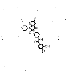 COc1ccc(C(=O)N[C@H]2CC[C@@H](n3c(=O)c4cc(F)cnc4n(C4CCSCC4)c3=O)CC2)cc1O